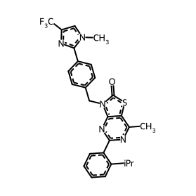 Cc1nc(-c2ccccc2C(C)C)nc2c1sc(=O)n2Cc1ccc(-c2nc(C(F)(F)F)cn2C)cc1